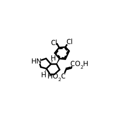 Clc1ccc([C@H]2CCC[C@H]3CNC[C@H]32)cc1Cl.O=C(O)/C=C/C(=O)O